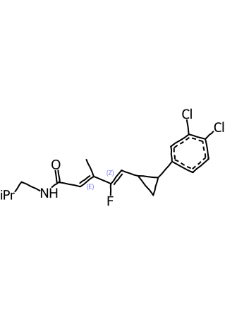 CC(=C\C(=O)NCC(C)C)/C(F)=C/C1CC1c1ccc(Cl)c(Cl)c1